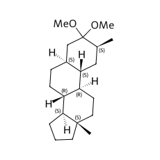 COC1(OC)C[C@@H]2CC[C@@H]3[C@H](CC[C@]4(C)CCC[C@@H]34)[C@H]2C[C@@H]1C